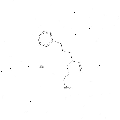 Br.C=CC(CCCCCCCCCCCC)CCCc1ccccn1